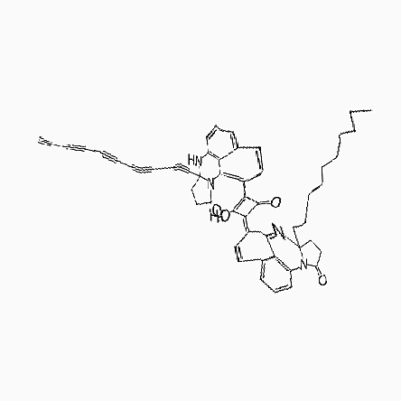 C#CC#CC#CC#CC#CC12CCC(=O)N1c1c(C3=C(O)/C(=c4\ccc5cccc6c5c4=NC4(CCCCCCCCCC)CCC(=O)N64)C3=O)ccc3cccc(c13)N2